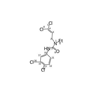 CCN(CC=C(Cl)Cl)C(=O)Nc1ccc(Cl)c(Cl)c1